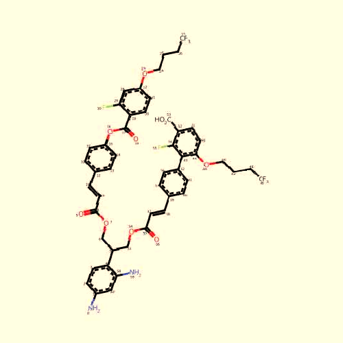 Nc1ccc(C(COC(=O)/C=C/c2ccc(OC(=O)c3ccc(OCCCC(F)(F)F)cc3F)cc2)COC(=O)/C=C/c2ccc(-c3c(OCCCC(F)(F)F)ccc(C(=O)O)c3F)cc2)c(N)c1